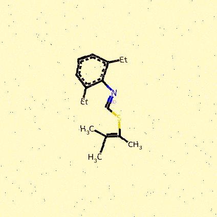 CCc1cccc(CC)c1/N=C/SC(C)=C(C)C